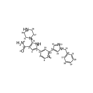 NC(=O)c1cc(-c2ccnc(-c3cnn(Cc4ccccc4)c3)c2)[nH]c1N1CCNCC1